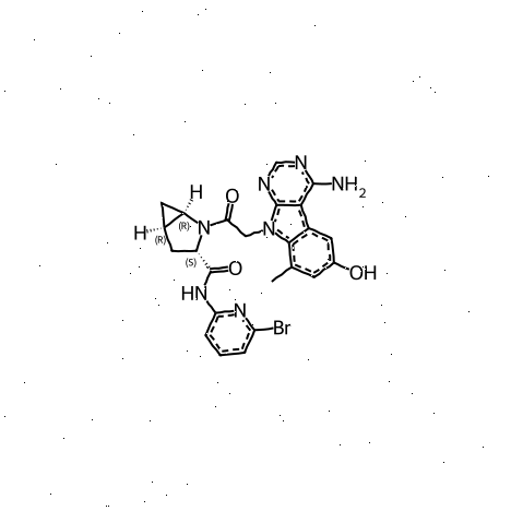 Cc1cc(O)cc2c3c(N)ncnc3n(CC(=O)N3[C@@H]4C[C@@H]4C[C@H]3C(=O)Nc3cccc(Br)n3)c12